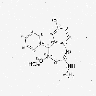 CNC1=Nc2ccc(Br)cc2C(c2ccccc2)=[N+]([O-])C1.Cl